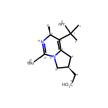 CCCC(C)(C)C1=C2C[C@@H](CC(=O)O)CN2C(C(C)(C)C)=N[C@H]1C